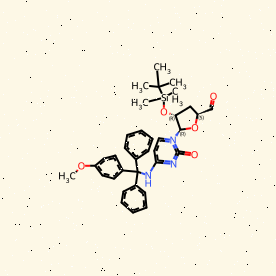 COc1ccc(C(Nc2ccn([C@@H]3O[C@H](C=O)C[C@H]3O[Si](C)(C)C(C)(C)C)c(=O)n2)(c2ccccc2)c2ccccc2)cc1